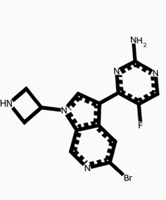 Nc1ncc(F)c(-c2cn(C3CNC3)c3cnc(Br)cc23)n1